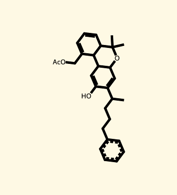 CC(=O)OCC1=CC=CC2C1C1C=C(O)C(C(C)CCCc3ccccc3)=CC1OC2(C)C